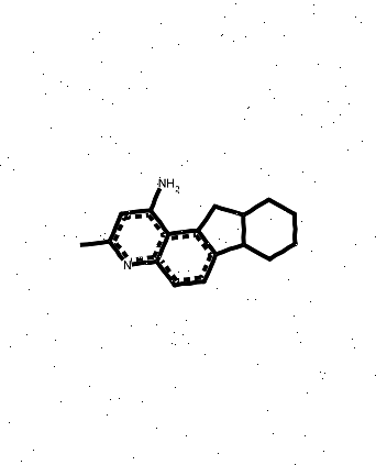 Cc1cc(N)c2c3c(ccc2n1)C1CCCCC1C3